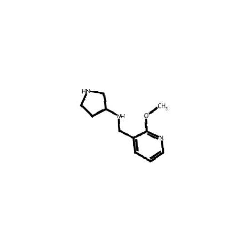 COc1ncccc1CNC1CCNC1